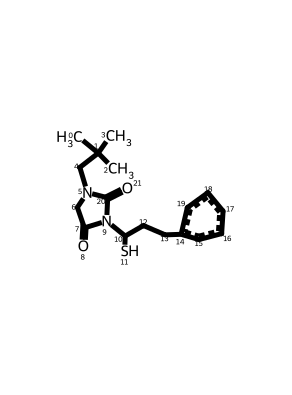 CC(C)(C)CN1CC(=O)N(C(S)CCc2ccccc2)C1=O